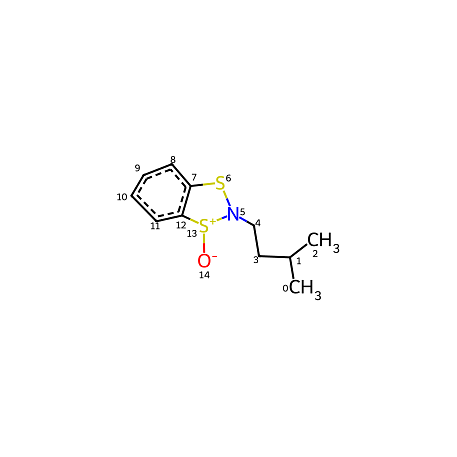 CC(C)CCN1Sc2ccccc2[S+]1[O-]